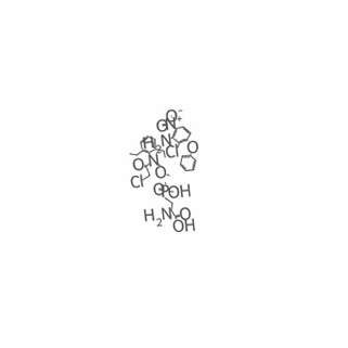 CCc1cccc(CC)c1N(COC)C(=O)CCl.CP(=O)(O)CCC(N)C(=O)O.Nc1c([N+](=O)[O-])ccc(Oc2ccccc2)c1Cl